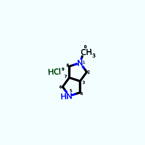 CN1CC2CNCC2C1.Cl